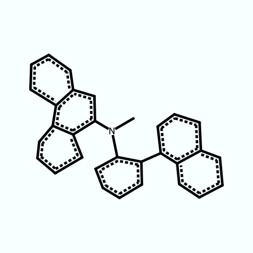 CN(c1ccccc1-c1cccc2ccccc12)c1cc2ccccc2c2ccccc12